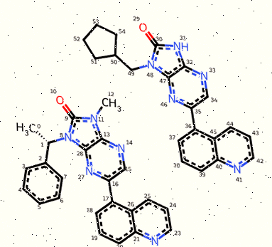 C[C@@H](c1ccccc1)n1c(=O)n(C)c2ncc(-c3cccc4ncccc34)nc21.O=c1[nH]c2ncc(-c3cccc4ncccc34)nc2n1CC1CCCC1